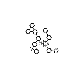 CN(c1nc(-c2cccc(-c3ccccc3)c2)nc(-c2cccc(-c3ccccc3)c2)n1)c1ccc(-c2ccc3c4ccccc4c4ccccc4c3c2)cc1-c1ccc2c(c1)-c1ccccc1C2(C)C